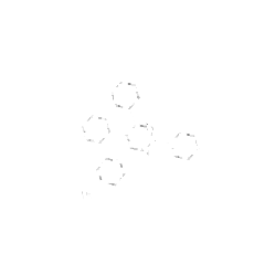 Brc1ccc(-c2nc(-c3ccccc3)nc(-c3ccccc3)c2-c2ccccc2)cc1